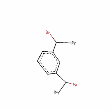 CC(C)C(Br)c1cccc(C(Br)C(C)C)c1